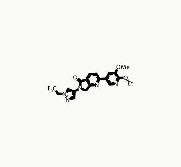 CCOc1ncc(-c2ccc3c(n2)CN(c2cnn(CC(F)(F)F)c2)C3=O)cc1OC